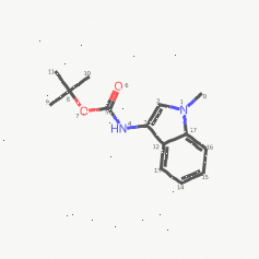 Cn1cc(NC(=O)OC(C)(C)C)c2ccccc21